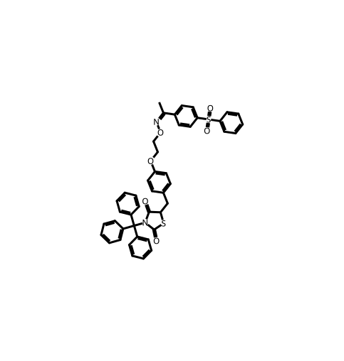 C/C(=N/OCCOc1ccc(CC2SC(=O)N(C(c3ccccc3)(c3ccccc3)c3ccccc3)C2=O)cc1)c1ccc(S(=O)(=O)c2ccccc2)cc1